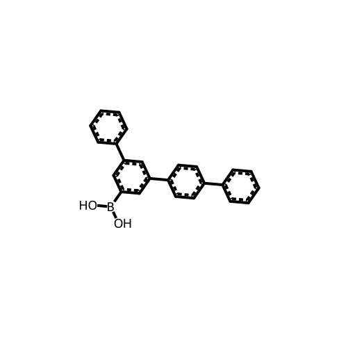 OB(O)c1cc(-c2ccccc2)cc(-c2ccc(-c3ccccc3)cc2)c1